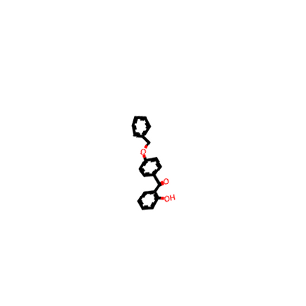 O=C(c1ccc(OCc2ccccc2)cc1)c1ccccc1O